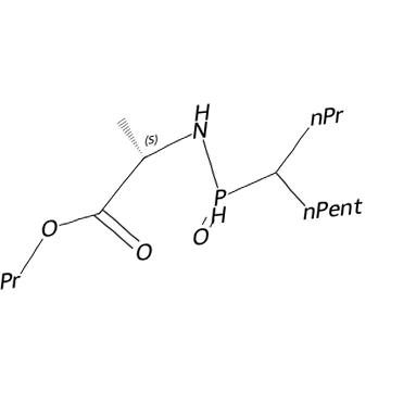 CCCCCC(CCC)[PH](=O)N[C@@H](C)C(=O)OC(C)C